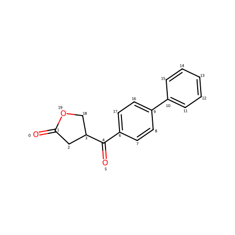 O=C1CC(C(=O)c2ccc(-c3ccccc3)cc2)CO1